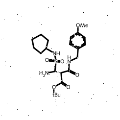 COc1ccc(CNC(=O)[C@H](C(=O)OC(C)(C)C)C(N)S(=O)(=O)NC2CCCCC2)cc1